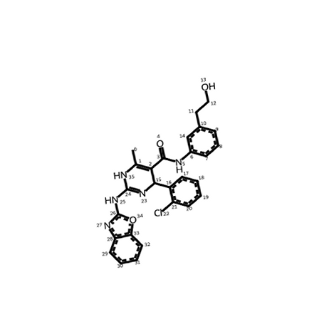 CC1=C(C(=O)Nc2cccc(CCO)c2)C(c2ccccc2Cl)N=C(Nc2nc3ccccc3o2)N1